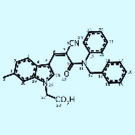 Cc1ccc2c(C=C(C#N)C(=O)N(Cc3ccccc3)c3ccccc3)cn(CC(=O)O)c2c1